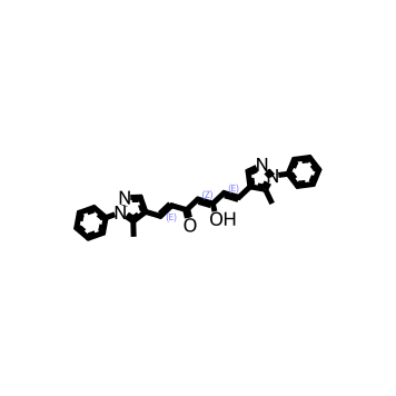 Cc1c(/C=C/C(=O)/C=C(O)/C=C/c2cnn(-c3ccccc3)c2C)cnn1-c1ccccc1